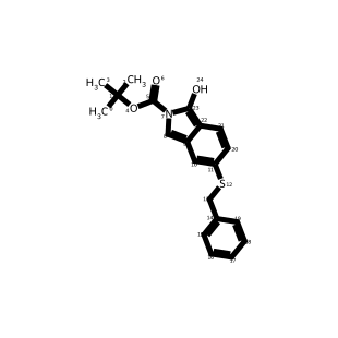 CC(C)(C)OC(=O)n1cc2cc(SCc3ccccc3)ccc2c1O